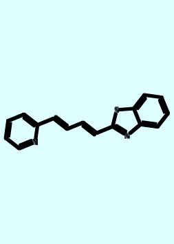 C(/C=C/c1nc2ccccc2s1)=C\c1ccccn1